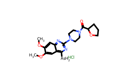 COc1cc2nc(N3CCN(C(=O)C4CCCO4)CC3)nc([AsH2])c2cc1OC.Cl